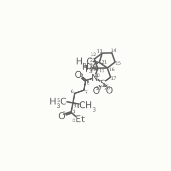 CCC(=O)C(C)(C)CCC(=O)N1[C@@H]2CC3CCC2(CS1(=O)=O)C3(C)C